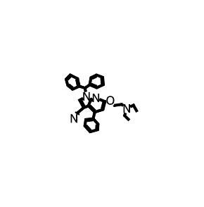 CCN(CC)CCOc1cc(-c2ccccc2)c2c(C#N)cn(C(c3ccccc3)c3ccccc3)c2n1